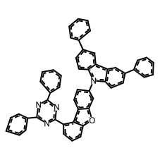 c1ccc(-c2ccc3c(c2)c2cc(-c4ccccc4)ccc2n3-c2ccc3c(c2)oc2cccc(-c4nc(-c5ccccc5)nc(-c5ccccc5)n4)c23)cc1